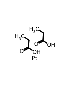 CCC(=O)O.CCC(=O)O.[Pt]